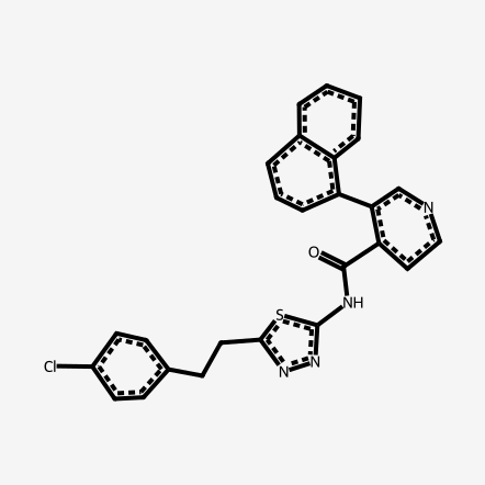 O=C(Nc1nnc(CCc2ccc(Cl)cc2)s1)c1ccncc1-c1cccc2ccccc12